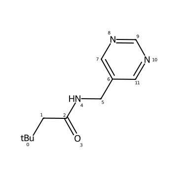 CC(C)(C)CC(=O)NCc1cncnc1